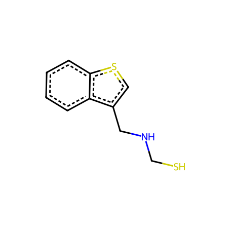 SCNCc1csc2ccccc12